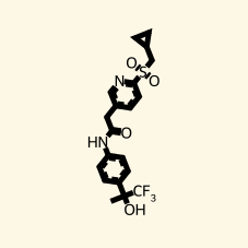 CC(O)(c1ccc(NC(=O)Cc2ccc(S(=O)(=O)CC3CC3)nc2)cc1)C(F)(F)F